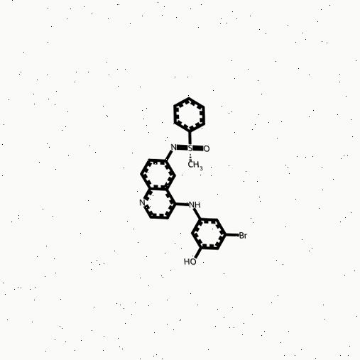 C[S@](=O)(=Nc1ccc2nccc(Nc3cc(O)cc(Br)c3)c2c1)c1ccccc1